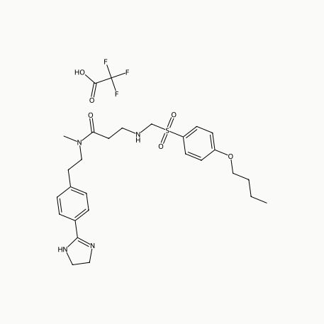 CCCCOc1ccc(S(=O)(=O)CNCCC(=O)N(C)CCc2ccc(C3=NCCN3)cc2)cc1.O=C(O)C(F)(F)F